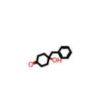 O=C1CCC(O)(Cc2ccccc2)CC1